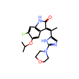 CC(=C1C(=O)Nc2cc(F)c(OC(C)C)cc21)c1cnc(N2CCOCC2)[nH]1